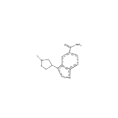 CN1CCC(n2cnc3ccc(C(N)=O)cc32)C1